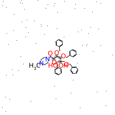 CN1CCN(C(=O)[C@H](OCc2ccccc2)[C@@H](OCc2ccccc2)[C@H](OCc2ccccc2)[C@](O)(CO)COCc2ccccc2)CC1